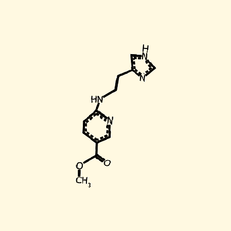 COC(=O)c1ccc(NCCc2c[nH]cn2)nc1